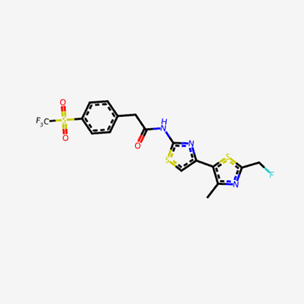 Cc1nc(CF)sc1-c1csc(NC(=O)Cc2ccc(S(=O)(=O)C(F)(F)F)cc2)n1